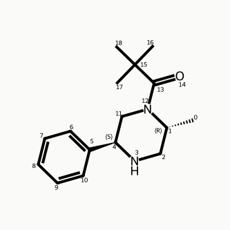 C[C@@H]1CN[C@@H](c2ccccc2)CN1C(=O)C(C)(C)C